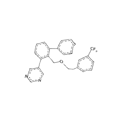 FC(F)(F)c1cccc(COCc2c(-c3ccccc3)cccc2-c2cncnc2)c1